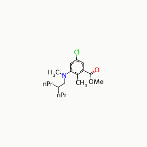 CCCC(CCC)CN(C)c1cc(Cl)cc(C(=O)OC)c1C